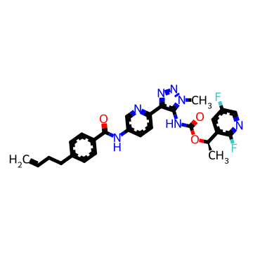 C=CCCc1ccc(C(=O)Nc2ccc(-c3nnn(C)c3NC(=O)O[C@H](C)c3cc(F)cnc3F)nc2)cc1